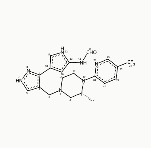 C[C@@H]1CN(Cc2c[nH]nc2-c2c[nH]c(NC=O)c2)CCN1c1ccc(C(F)(F)F)cn1